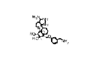 C[C@@]1(O)[C@@H](COc2cccc(CN)c2)O[C@@H](N2CCC3C(N)NCNC32C2CCCCC2)[C@@H]1O